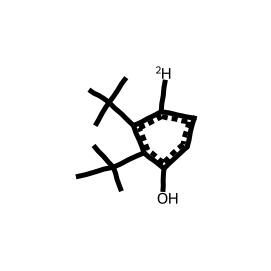 [2H]c1ccc(O)c(C(C)(C)C)c1C(C)(C)C